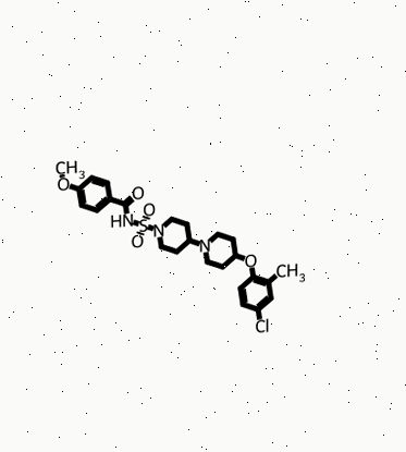 COc1ccc(C(=O)NS(=O)(=O)N2CCC(N3CCC(Oc4ccc(Cl)cc4C)CC3)CC2)cc1